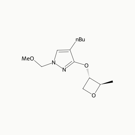 CCCCc1cn(COC)nc1O[C@H]1CO[C@@H]1C